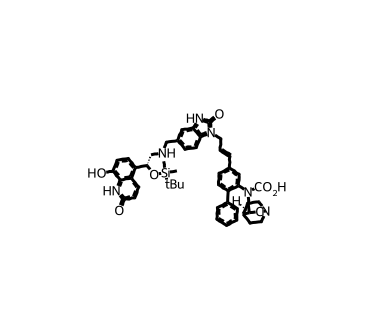 CC(C)(C)[Si](C)(C)O[C@@H](CNCc1ccc2c(c1)[nH]c(=O)n2CC=Cc1ccc(-c2ccccc2)c(N(C(=O)O)[C@H]2CN3CCC2CC3)c1)c1ccc(O)c2[nH]c(=O)ccc12